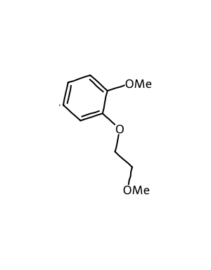 COCCOc1c[c]ccc1OC